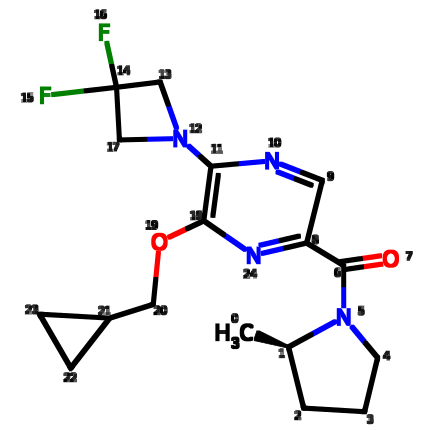 C[C@@H]1CCCN1C(=O)c1cnc(N2CC(F)(F)C2)c(OCC2CC2)n1